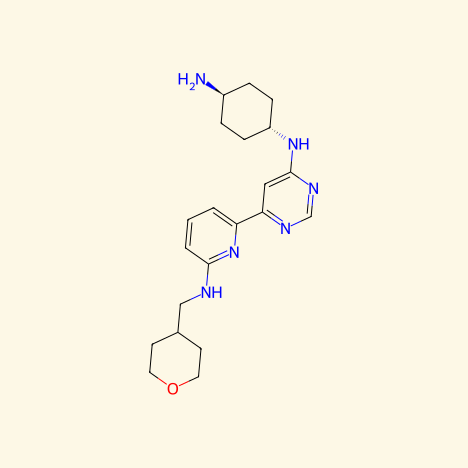 N[C@H]1CC[C@H](Nc2cc(-c3cccc(NCC4CCOCC4)n3)ncn2)CC1